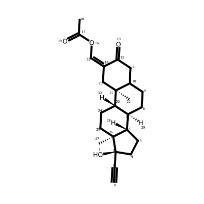 C#C[C@@]1(O)CC[C@H]2[C@@H]3CCC4CC(=O)C(=COC(C)=O)C[C@]4(C)[C@H]3CC[C@@]21C